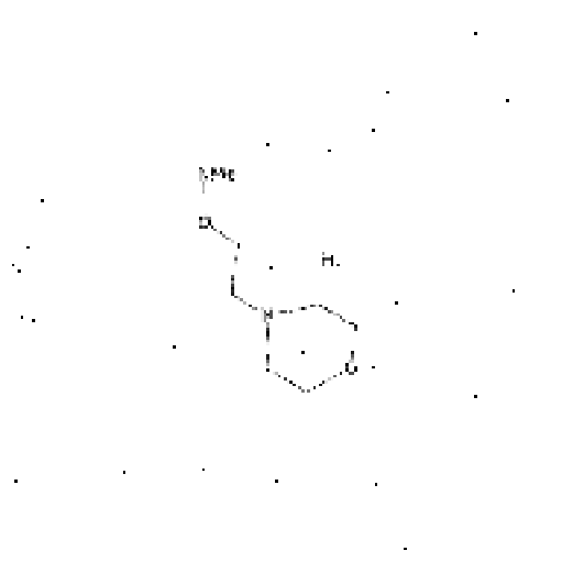 CNOCCN1CCOCC1.I